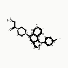 O=C(CO)N1CCN(c2cc3cnn(-c4ccc(F)cc4)c3c3ccncc23)CC1